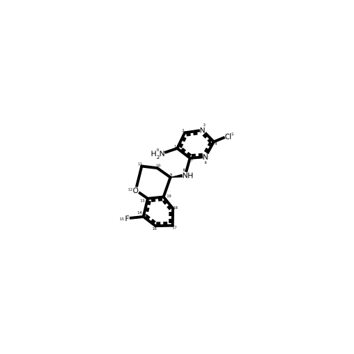 Nc1cnc(Cl)nc1N[C@@H]1CCOc2c(F)cccc21